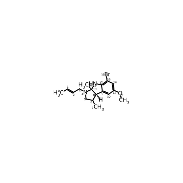 C/C=C/CN1CC(C)[C@H]2c3cc(OC)cc(Br)c3N[C@]21C